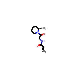 C=CC(=O)NCC(=O)N1CCCC[C@H]1C(=O)O